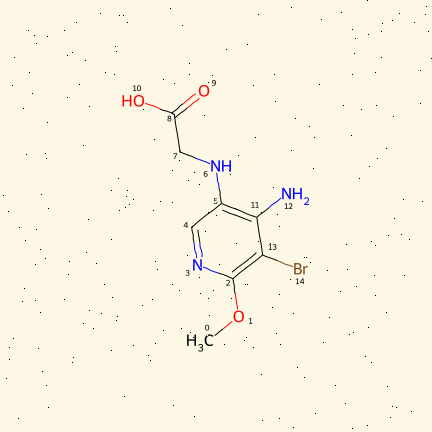 COc1ncc(NCC(=O)O)c(N)c1Br